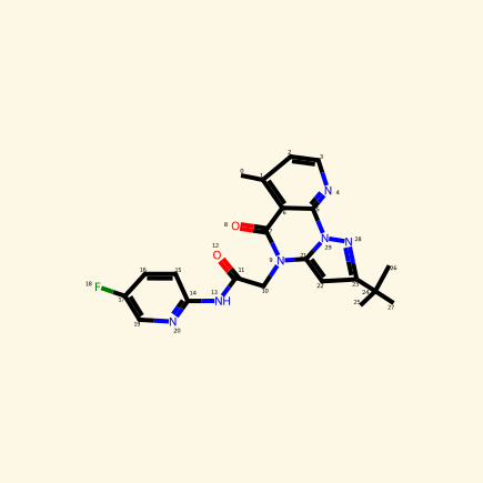 Cc1ccnc2c1c(=O)n(CC(=O)Nc1ccc(F)cn1)c1cc(C(C)(C)C)nn21